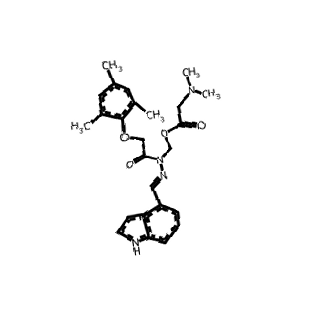 Cc1cc(C)c(OCC(=O)N(COC(=O)CN(C)C)/N=C/c2cccc3[nH]ccc23)c(C)c1